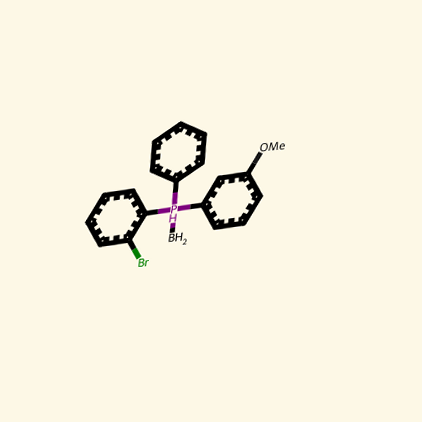 B[PH](c1ccccc1)(c1cccc(OC)c1)c1ccccc1Br